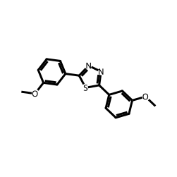 COc1cccc(-c2nnc(-c3cccc(OC)c3)s2)c1